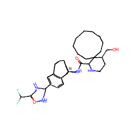 O=C(N[C@@H]1CCc2cc(C3NOC(C(F)F)N3)ccc21)C1NCCC(CO)C12CCCCCCCCC2